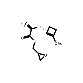 C=C(C)C(=O)OCC1CO1.CC(=O)OC1=CCC1